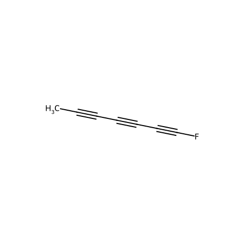 CC#CC#CC#CF